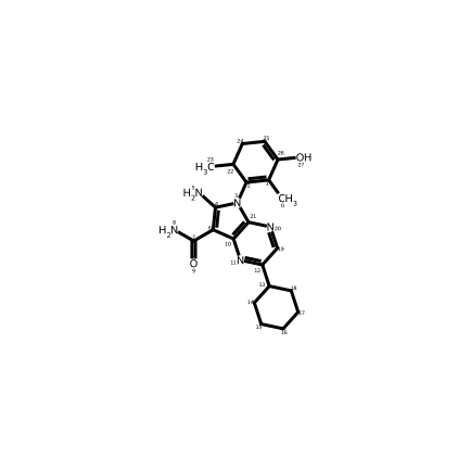 CC1=C(n2c(N)c(C(N)=O)c3nc(C4CCCCC4)cnc32)C(C)CC=C1O